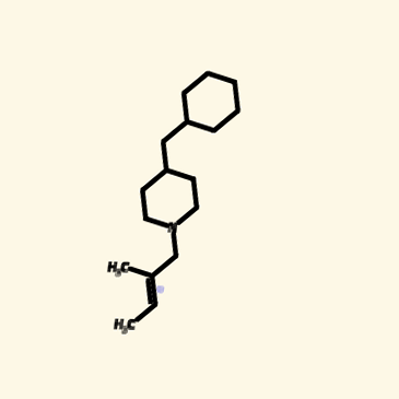 C/C=C(\C)CN1CCC(CC2CCCCC2)CC1